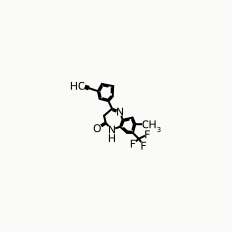 C#Cc1cccc(C2=Nc3cc(C)c(C(F)(F)F)cc3NC(=O)C2)c1